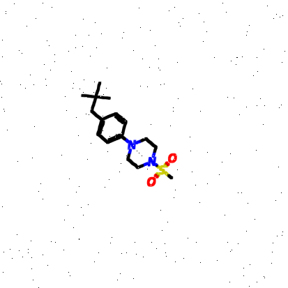 CC(C)(C)Cc1ccc(N2CCN(S(C)(=O)=O)CC2)cc1